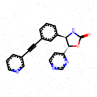 O=C1N[C@H](c2cccc(C#Cc3cccnc3)c2)[C@@H](c2ccncn2)O1